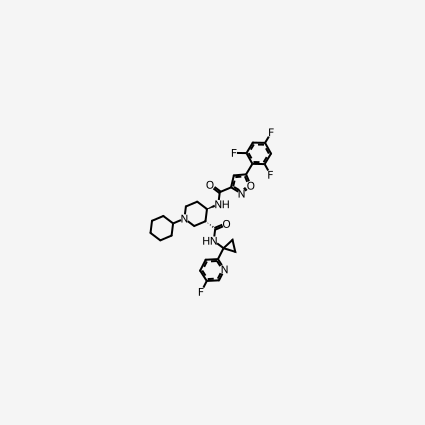 O=C(N[C@@H]1CCN(C2CCCCC2)C[C@H]1C(=O)NC1(c2ccc(F)cn2)CC1)c1cc(-c2c(F)cc(F)cc2F)on1